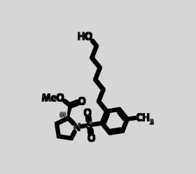 COC(=O)[C@@H]1CCCN1S(=O)(=O)c1ccc(C)cc1CCCCCCO